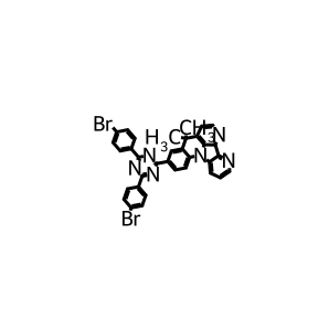 CC1(C)c2cc(-c3nc(-c4ccc(Br)cc4)nc(-c4ccc(Br)cc4)n3)ccc2-n2c3cccnc3c3nccc1c32